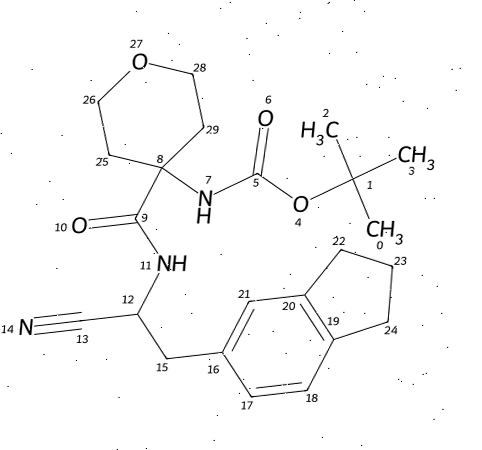 CC(C)(C)OC(=O)NC1(C(=O)NC(C#N)Cc2ccc3c(c2)CCC3)CCOCC1